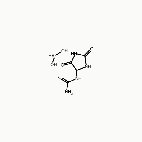 NC(=O)NC1NC(=O)NC1=O.[OH][AlH][OH]